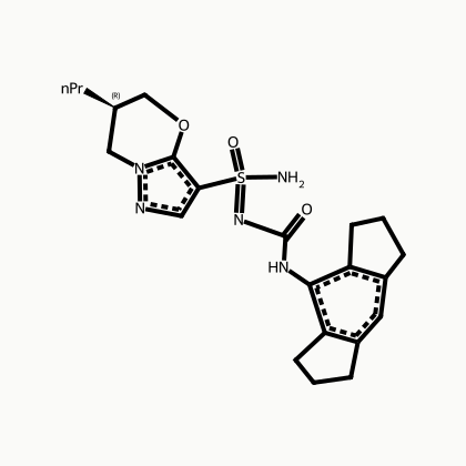 CCC[C@H]1COc2c(S(N)(=O)=NC(=O)Nc3c4c(cc5c3CCC5)CCC4)cnn2C1